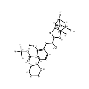 COc1c(CC(Cl)B2OC3C[C@H]4C[C@@H](C4(C)C)[C@]3(C)O2)ccc(C2OCCCO2)c1C(=O)OC(C)(C)C